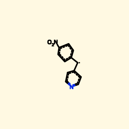 O=[N+]([O-])c1ccc([CH]c2ccncc2)cc1